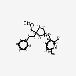 CCOCC1(CCc2ccccc2)CCN(Cc2ccc(C)nc2C)C1